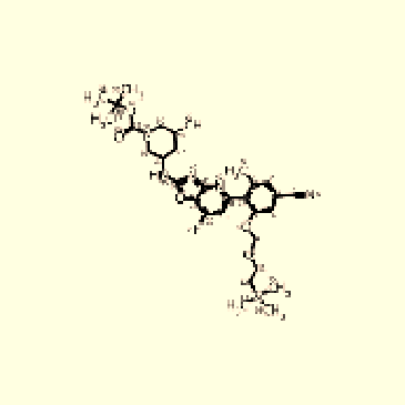 Cc1cc(C#N)cc(OCOCC[Si](C)(C)C)c1-c1cc(F)c2oc(N[C@@H]3C[C@H](O)CN(C(=O)OC(C)(C)C)C3)nc2n1